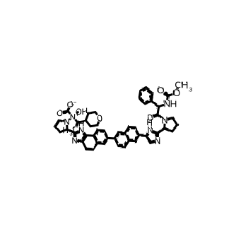 COC(=O)NC(C(=O)N1CCCC1c1ncc(-c2ccc3cc(-c4ccc5c(c4)CCc4nc(C6CCCN6[N+](O)(C(=O)[O-])C(C)C6CCOCC6)[nH]c4-5)ccc3c2)[nH]1)c1ccccc1